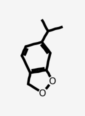 CC(C)c1ccc2c(c1)OOC2